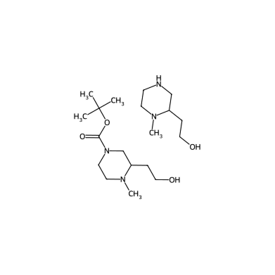 CN1CCN(C(=O)OC(C)(C)C)CC1CCO.CN1CCNCC1CCO